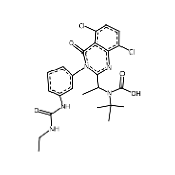 CCNC(=O)Nc1cccc(-n2c(C(C)N(C(=O)O)C(C)(C)C)nc3c(Cl)ccc(Cl)c3c2=O)c1